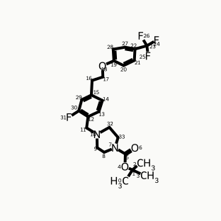 CC(C)(C)OC(=O)N1CCN(Cc2ccc(CCOc3ccc(C(F)(F)F)cc3)cc2F)CC1